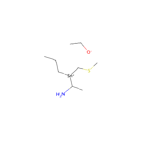 CC[CH2][Sn+]([CH2]SC)[CH](C)N.CC[O-]